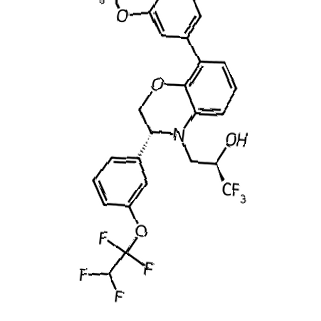 O[C@H](CN1c2cccc(-c3cccc(OC(F)(F)F)c3)c2OC[C@H]1c1cccc(OC(F)(F)C(F)F)c1)C(F)(F)F